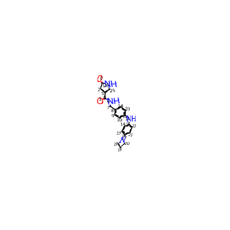 O=C1CC(C(=O)NCc2ccc(Nc3ccc(N4CCC4)cc3)cc2)CN1